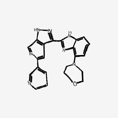 c1cncc(-c2cc3c(-c4nc5c(N6CCOCC6)cccc5[nH]4)n[nH]c3cn2)c1